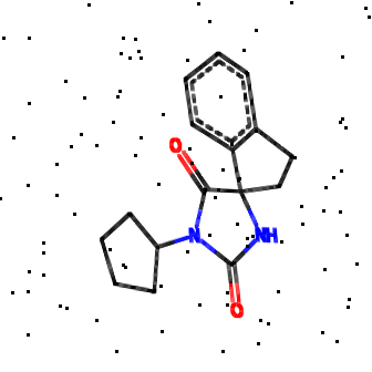 O=C1NC2(CCc3ccccc32)C(=O)N1C1CCCC1